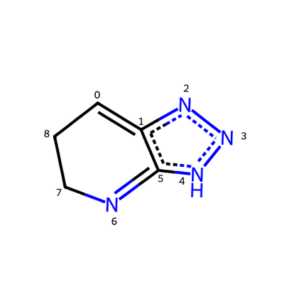 C1=c2nn[nH]c2=NCC1